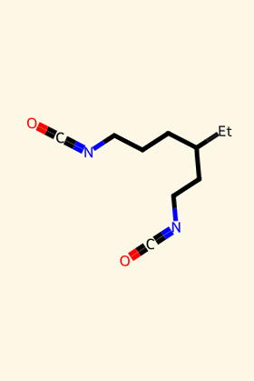 CCC(CCCN=C=O)CCN=C=O